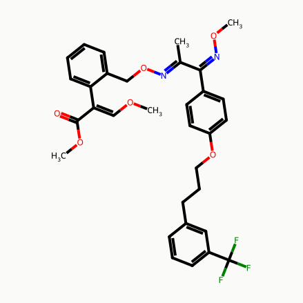 CO/C=C(/C(=O)OC)c1ccccc1CO/N=C(C)/C(=N\OC)c1ccc(OCCCc2cccc(C(F)(F)F)c2)cc1